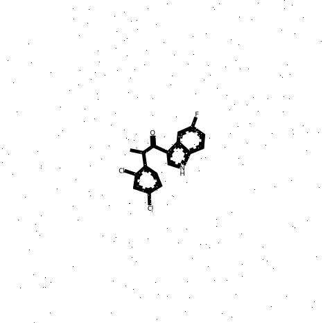 CC(C(=O)c1c[nH]c2ccc(F)cc12)c1ccc(Cl)cc1Cl